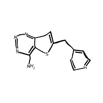 Nc1nnnc2cc(Cc3ccncc3)sc12